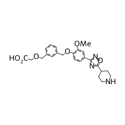 COc1cc(-c2noc(C3CCNCC3)n2)ccc1OCc1cccc(COCC(=O)O)c1